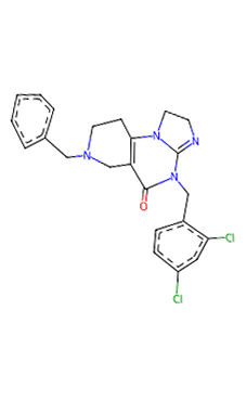 O=C1C2=C(CCN(Cc3ccccc3)C2)N2CCN=C2N1Cc1ccc(Cl)cc1Cl